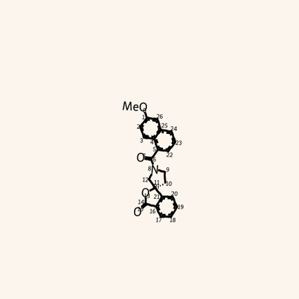 COc1ccc2c(C(=O)N3CC[C@@]4(C3)OC(=O)c3ccccc34)cccc2c1